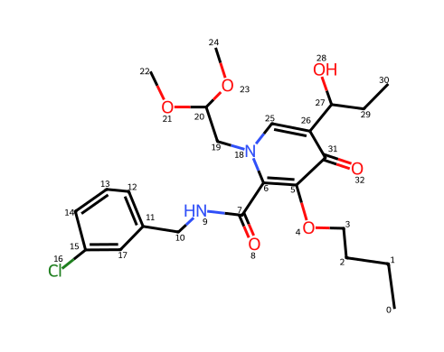 CCCCOc1c(C(=O)NCc2cccc(Cl)c2)n(CC(OC)OC)cc(C(O)CC)c1=O